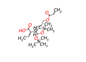 C=CC(=O)OCCC[SiH](C(=CC)C(=O)O)C(O[Si](C)(C)C)O[Si](C)(C)C